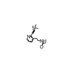 CC(=O)NCCc1cccnc1C#C[Si](C)(C)C